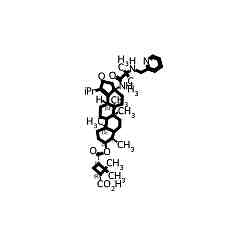 CC(C)C1=C2[C@H]3CCC4[C@@]5(C)CC[C@H](OC(=O)[C@H]6C[C@@H](C(=O)O)C6(C)C)[C@H](C)C5CC[C@@]4(C)[C@]3(C)CC[C@@]2(NC(=O)C(C)(C)NCc2ccccn2)CC1=O